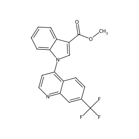 COC(=O)c1cn(-c2ccnc3cc(C(F)(F)F)ccc23)c2ccccc12